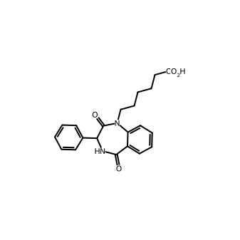 O=C(O)CCCCCN1C(=O)C(c2ccccc2)NC(=O)c2ccccc21